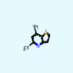 CCc1cc(C(C)C)c2sccc2n1